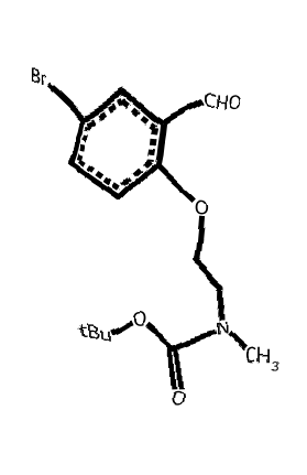 CN(CCOc1ccc(Br)cc1C=O)C(=O)OC(C)(C)C